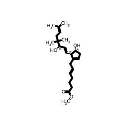 COC(=O)CCCC=CCC1=CC[C@@H](O)[C@@H]1C=C[C@@H](O)C(C)(C)CC=C(C)C